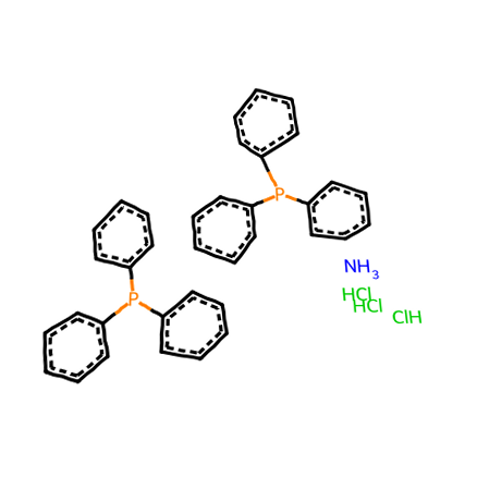 Cl.Cl.Cl.N.c1ccc(P(c2ccccc2)c2ccccc2)cc1.c1ccc(P(c2ccccc2)c2ccccc2)cc1